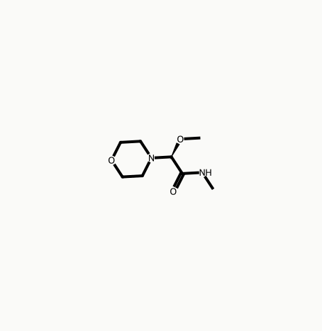 CNC(=O)[C@H](OC)N1CCOCC1